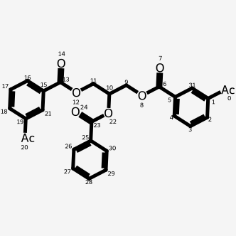 CC(=O)c1cccc(C(=O)OCC(COC(=O)c2cccc(C(C)=O)c2)OC(=O)c2ccccc2)c1